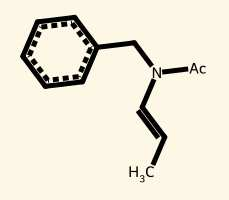 CC=CN(Cc1ccccc1)C(C)=O